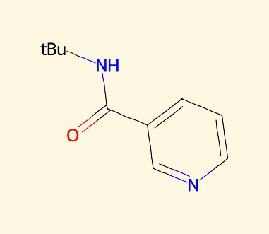 [CH2]C(C)(C)NC(=O)c1cccnc1